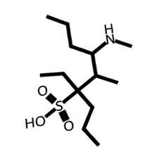 CCCC(NC)C(C)C(CC)(CCC)S(=O)(=O)O